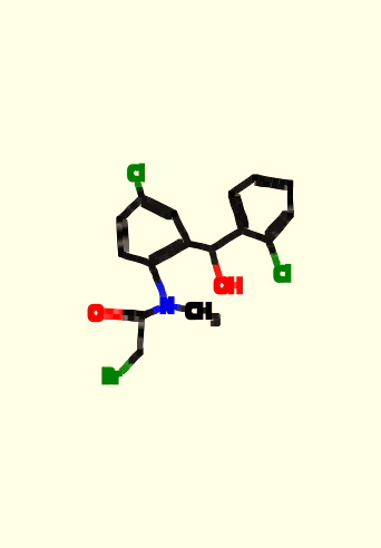 CN(C(=O)CBr)c1ccc(Cl)cc1C(O)c1ccccc1Cl